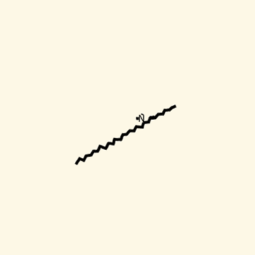 CCCCCC/C=C/CC(CCCCCCCCCCCCCCCCCCC)N(C)C